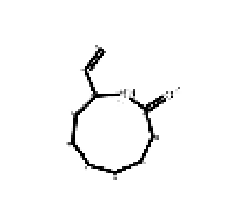 C=CC1CCCCCCC(=O)N1